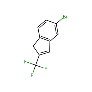 FC(F)(F)C1=Cc2cc(Br)ccc2C1